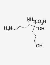 NCCCC(N)C(O)(CCCO)C(=O)O